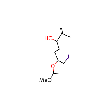 C=C(C)C(O)CCC(CI)OC(C)OC